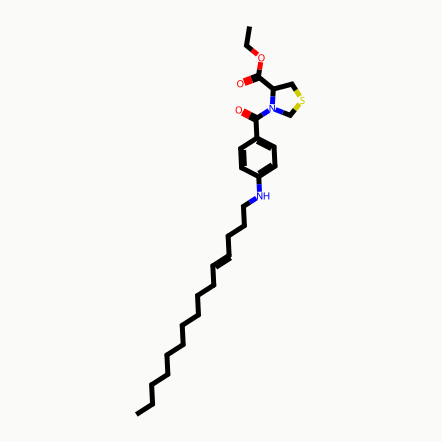 CCCCCCCCCCC=CCCCNc1ccc(C(=O)N2CSCC2C(=O)OCC)cc1